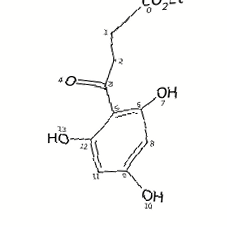 CCOC(=O)CCC(=O)c1c(O)cc(O)cc1O